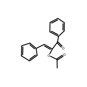 CC(=O)OC(=Cc1ccccc1)C(=O)c1ccccc1